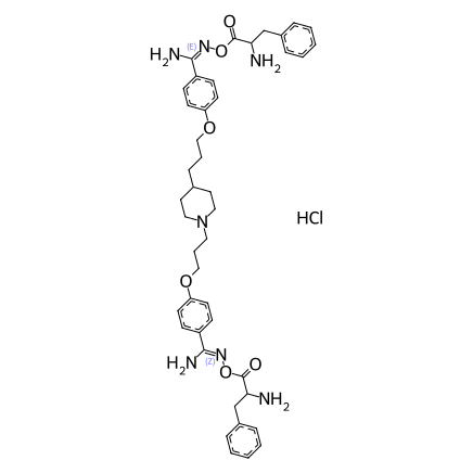 Cl.N/C(=N\OC(=O)C(N)Cc1ccccc1)c1ccc(OCCCN2CCC(CCCOc3ccc(/C(N)=N\OC(=O)C(N)Cc4ccccc4)cc3)CC2)cc1